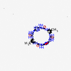 Cc1cc2cc(c1)[nH]c(=O)[nH][nH]c1nnc(nn1)[nH][nH]c(=O)[nH]c1cc(C)cc(c1)[nH]c(=O)[nH][nH]c1nnc(nn1)[nH][nH]c(=O)[nH]2